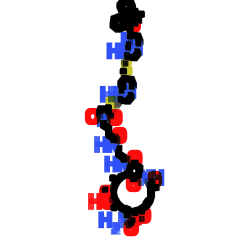 COC1C=CC=C(C)C(=O)NC2=CC(=O)C(NCCCNC(=O)CCCN3C(=O)CC(SC[C@H]4CCN5CC[C@@H](CSC[C@H]6CCN7CC[C@H](CO[Si](c8ccccc8)(c8ccccc8)C(C)(C)C)N=C7N6)C=C5N4)C3=O)=C(CC(C)CC(OC)C(O)C(C)C=C(C)C1OC(N)=O)C2=O